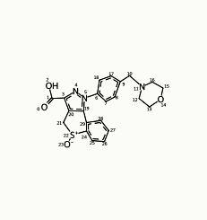 O=C(O)c1nn(-c2ccc(CN3CCOCC3)cc2)c2c1C[S+]([O-])c1ccccc1-2